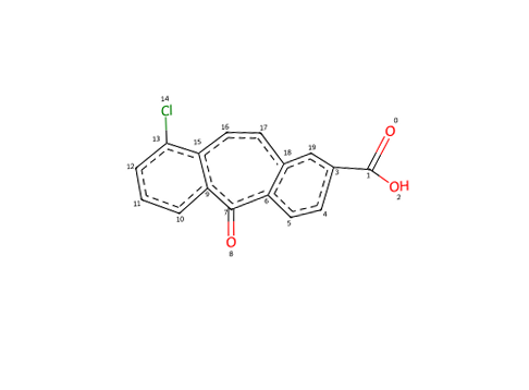 O=C(O)c1ccc2c(=O)c3cccc(Cl)c3ccc2c1